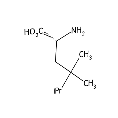 CC(C)C(C)(C)C[C@@H](N)C(=O)O